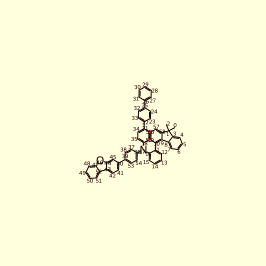 CC1(C)c2ccccc2-c2c(-c3ccccc3N(c3ccc(-c4ccc(-c5ccccc5)cc4)cc3)c3ccc(-c4ccc5c(c4)oc4ccccc45)cc3)cccc21